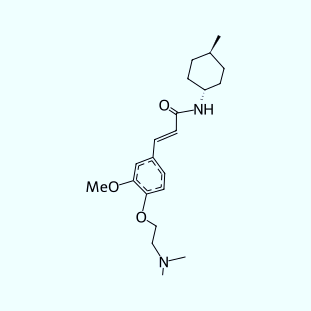 COc1cc(C=CC(=O)N[C@H]2CC[C@H](C)CC2)ccc1OCCN(C)C